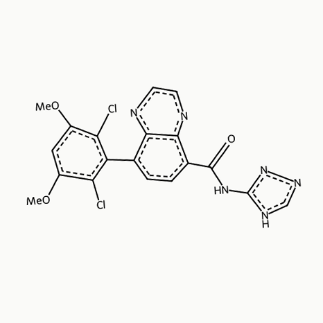 COc1cc(OC)c(Cl)c(-c2ccc(C(=O)Nc3nnc[nH]3)c3nccnc23)c1Cl